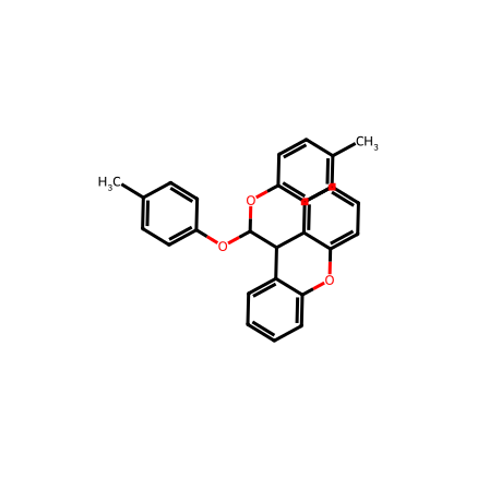 Cc1ccc(OC(Oc2ccc(C)cc2)C2c3ccccc3Oc3ccccc32)cc1